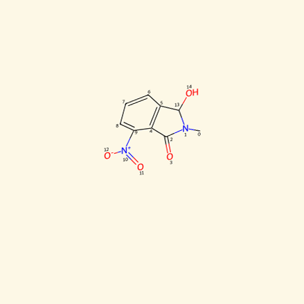 CN1C(=O)c2c(cccc2[N+](=O)[O-])C1O